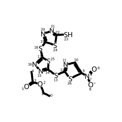 CCOC(C)=O.O=[N+]([O-])c1cnc(Sc2nnc(Sc3nnc(S)s3)s2)s1